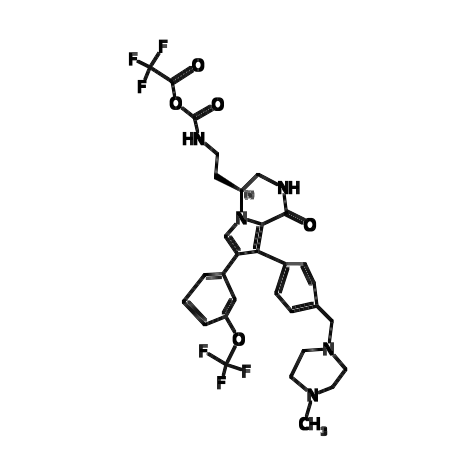 CN1CCN(Cc2ccc(-c3c(-c4cccc(OC(F)(F)F)c4)cn4c3C(=O)NC[C@@H]4CCNC(=O)OC(=O)C(F)(F)F)cc2)CC1